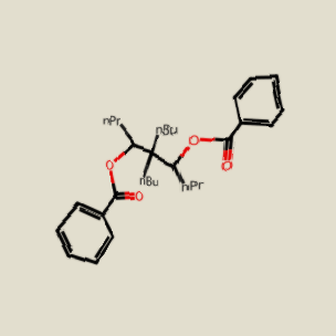 CCCCC(CCCC)(C(CCC)OC(=O)c1ccccc1)C(CCC)OC(=O)c1ccccc1